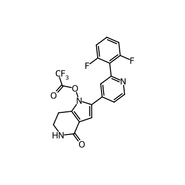 O=C1NCCc2c1cc(-c1ccnc(-c3c(F)cccc3F)c1)n2OC(=O)C(F)(F)F